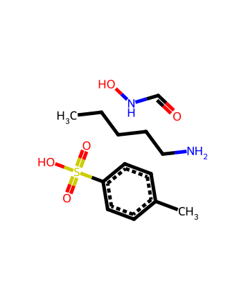 CCCCCN.Cc1ccc(S(=O)(=O)O)cc1.O=CNO